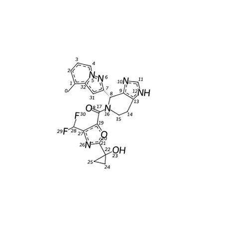 Cc1cccn2nc([C@@H]3c4nc[nH]c4CCN3C(=O)c3oc(C4(O)CC4)nc3C(F)F)cc12